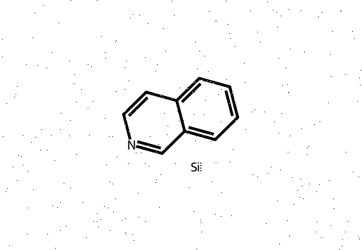 [Si].c1ccc2cnccc2c1